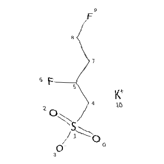 O=S(=O)([O-])CC(F)CCF.[K+]